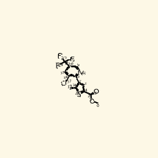 COC(=O)c1cc(-c2ncc(C(F)(F)F)cc2Cl)c(C)s1